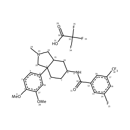 COc1ccc(C23CCC(NC(=O)c4cc(F)cc(C(F)(F)F)c4)CC2CN(C)C3)cc1OC.O=C(O)C(F)(F)F